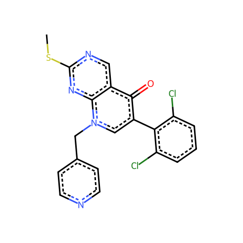 CSc1ncc2c(=O)c(-c3c(Cl)cccc3Cl)cn(Cc3ccncc3)c2n1